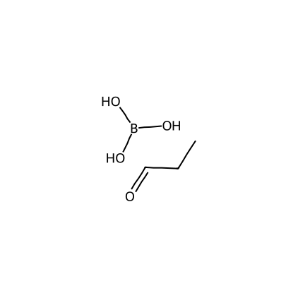 CCC=O.OB(O)O